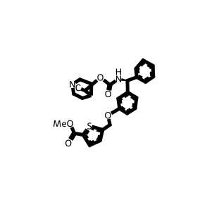 COC(=O)c1ccc(COc2cccc([C@@H](NC(=O)OC3CN4CCC3CC4)c3ccccc3)c2)s1